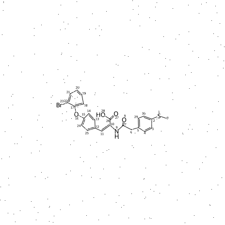 CSc1ccc(CC(=O)N/C(=C/c2ccc(Oc3ccccc3Br)cc2)C(=O)O)cc1